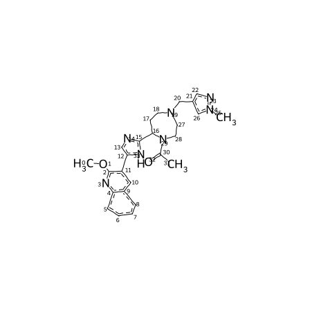 COc1nc2ccccc2cc1-c1cnc(C2CCN(Cc3cnn(C)c3)CCN2C(C)=O)[nH]1